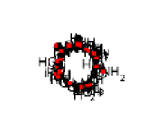 CCCC[C@H]1C(=O)N(C)[C@@H](CCCC)C(=O)N[C@@H](Cc2ccccn2)C(=O)N[C@H](C(=O)NCC(N)=O)CSCC(=O)N[C@@H](Cc2ccc(O)cc2)C(=O)N(C)[C@@H](C)C(=O)N[C@@H](CC(N)=O)C(=O)N2CCCC2C(=O)N[C@@H](Cc2cnc[nH]2)C(=O)N[C@@H](CC(C)C)C(=O)N2C[C@H](O)C[C@H]2C(=O)N[C@@H](Cc2c[nH]c3ccccc23)C(=O)N[C@@H](CO)C(=O)N[C@@H](Cc2c[nH]c3ccccc23)C(=O)N1C